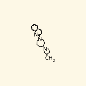 C=C1CCN([C@@H]2CCCN(c3ccc4ccccc4n3)CC2)C1